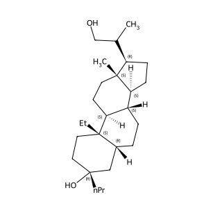 CCC[C@@]1(O)CC[C@@]2(CC)[C@H](CC[C@H]3[C@@H]4CC[C@H](C(C)CO)[C@@]4(C)CC[C@@H]32)C1